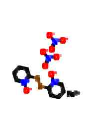 O=[N+]([O-])[O-].O=[N+]([O-])[O-].[Fe+2].[O-][n+]1ccccc1SSc1cccc[n+]1[O-]